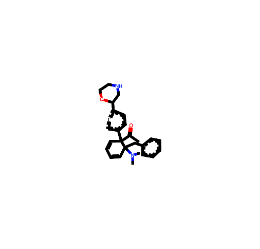 CC(=O)C1(c2ccc(C3CNCCO3)cc2)C=CC=CC1(Cc1ccccc1)N(C)C